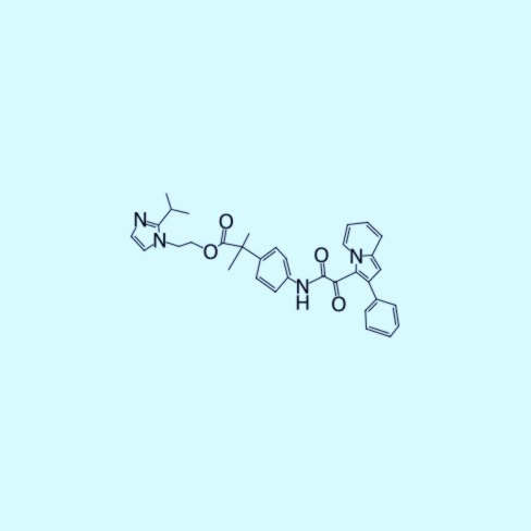 CC(C)c1nccn1CCOC(=O)C(C)(C)c1ccc(NC(=O)C(=O)c2c(-c3ccccc3)cc3ccccn23)cc1